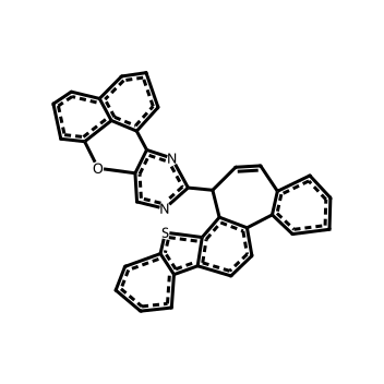 C1=CC(c2ncc3c(n2)-c2cccc4cccc(c24)O3)c2c(ccc3c2sc2ccccc23)-c2ccccc21